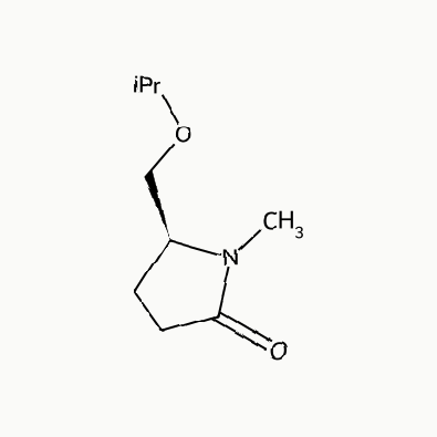 CC(C)OC[C@@H]1CCC(=O)N1C